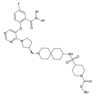 CC(C)N(C(=O)c1cc(F)ccc1Oc1cncnc1N1CC[C@@H](CN2CCC3(CCC(NS(=O)(=O)C4CCN(C(=O)OC(C)(C)C)CC4)CC3)CC2)C1)C(C)C